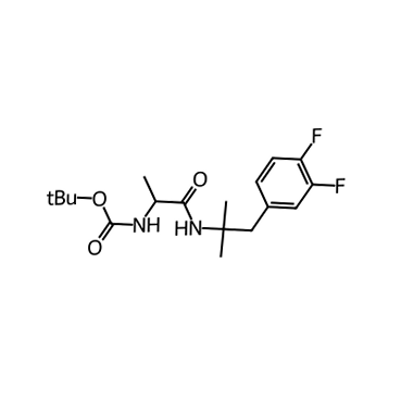 CC(NC(=O)OC(C)(C)C)C(=O)NC(C)(C)Cc1ccc(F)c(F)c1